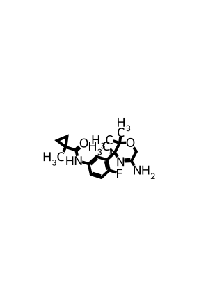 CC1(C(=O)Nc2ccc(F)c([C@@]3(C)N=C(N)COC3(C)C)c2)CC1